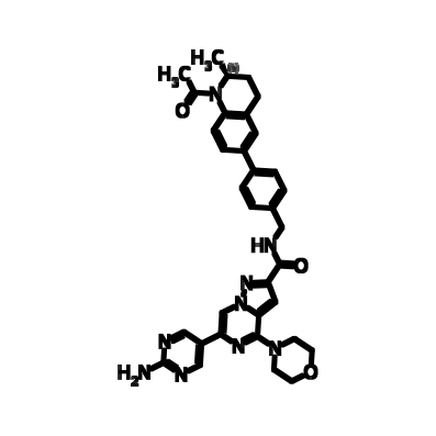 CC(=O)N1c2ccc(-c3ccc(CNC(=O)c4cc5c(N6CCOCC6)nc(-c6cnc(N)nc6)cn5n4)cc3)cc2CC[C@@H]1C